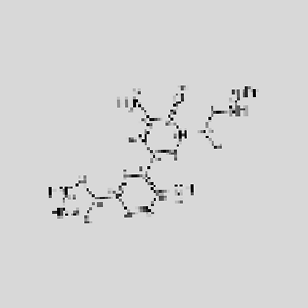 CCCNCC(C)n1cc(-c2cc(C3CNNC3)ccc2O)nc(N)c1=O